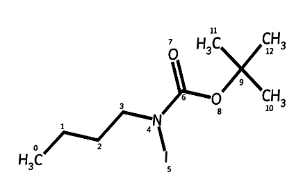 CCCCN(I)C(=O)OC(C)(C)C